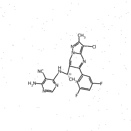 Cc1nn2cc([C@H](C)Nc3ncnc(N)c3C#N)c(-c3cc(F)cc(F)c3)nc2c1Cl